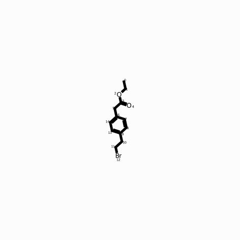 CCOC(=O)Cc1ccc(CCBr)cc1